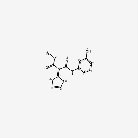 CC(C)OC(=O)C(C(=O)Nc1cccc(O)c1)=C1SC=CS1